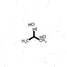 C[CH](C)[Hf].Cl.Cl